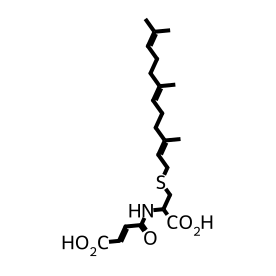 CC(C)=CCC/C(C)=C/CC/C(C)=C/CSCC(NC(=O)C=CC(=O)O)C(=O)O